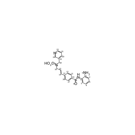 Nc1ccccc1NC(=O)c1ccc(C=CCN(Cc2cccnc2)C(=O)O)cc1